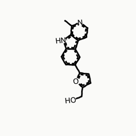 Cc1nccc2c1[nH]c1ccc(-c3ccc(CO)o3)cc12